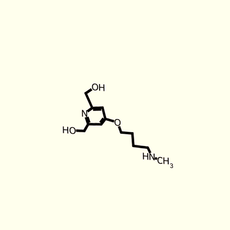 CNCCCCOc1cc(CO)nc(CO)c1